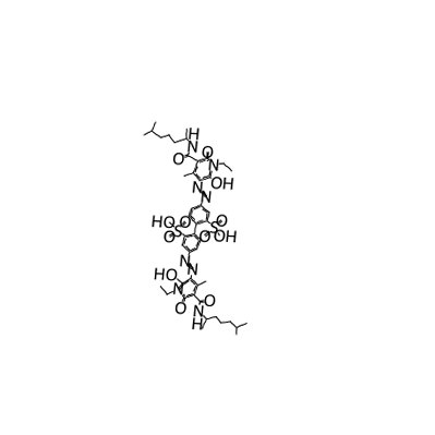 CCn1c(O)c(N=Nc2ccc(-c3ccc(N=Nc4c(C)c(C(=O)NC(C)CCCC(C)C)c(=O)n(CC)c4O)cc3S(=O)(=O)O)c(S(=O)(=O)O)c2)c(C)c(C(=O)NC(C)CCCC(C)C)c1=O